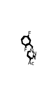 CC(=O)C1=CCN(CC2=C(F)CC=CC(F)=C2)N=N1